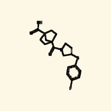 O=C(O)C12CCC(C(=O)N3CCC(Sc4ccc(F)cc4)C3)(CC1)C2